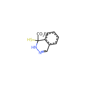 CCOC(=O)C1(S)NN=Cc2ccccc21